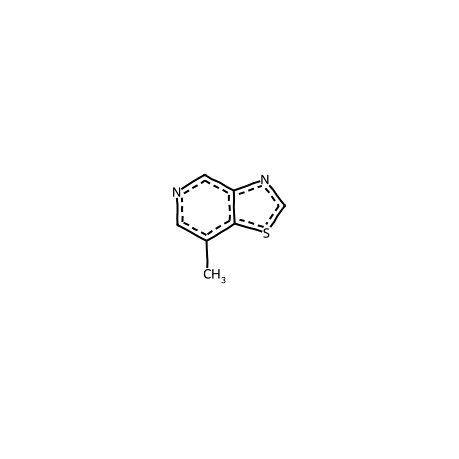 Cc1cncc2ncsc12